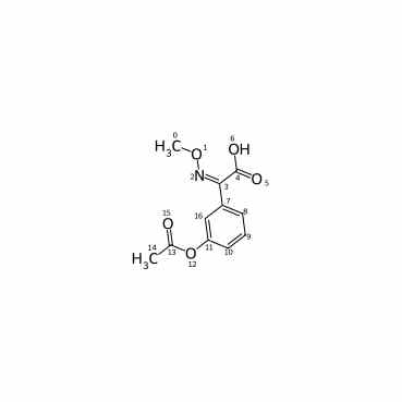 CON=C(C(=O)O)c1cccc(OC(C)=O)c1